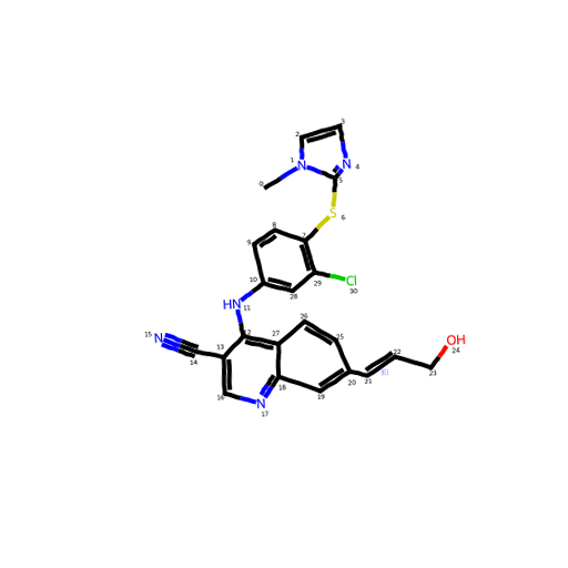 Cn1ccnc1Sc1ccc(Nc2c(C#N)cnc3cc(/C=C/CO)ccc23)cc1Cl